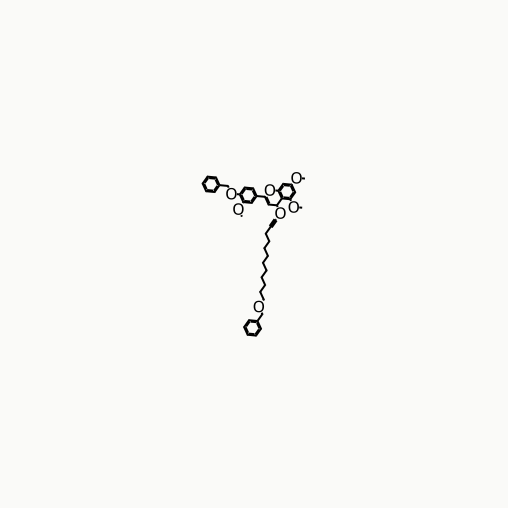 COc1cc(OC)c2c(c1)OC(c1ccc(OCc3ccccc3)c(OC)c1)=CC2OC#CCCCCCCCCCCOCc1ccccc1